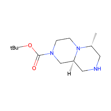 C[C@@H]1CNC[C@H]2CN(C(=O)OC(C)(C)C)CCN21